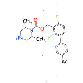 CC(=O)c1ccc(-c2ccc(F)c(COC(=O)N3C(C)CNCC3C)c2F)cc1